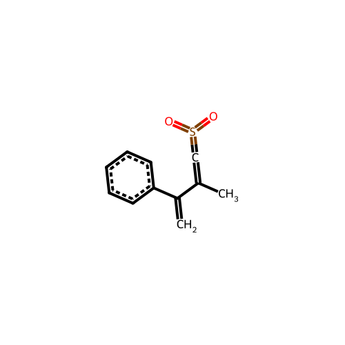 C=C(C(C)=C=S(=O)=O)c1ccccc1